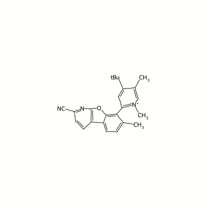 Cc1c[n+](C)c(-c2c(C)ccc3c2oc2nc(C#N)ccc23)cc1C(C)(C)C